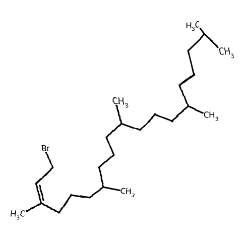 CC(=CCBr)CCCC(C)CCCC(C)CCCC(C)CCCC(C)C